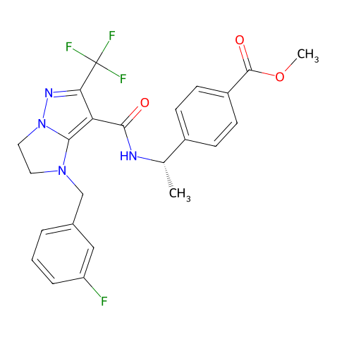 COC(=O)c1ccc([C@H](C)NC(=O)c2c(C(F)(F)F)nn3c2N(Cc2cccc(F)c2)CC3)cc1